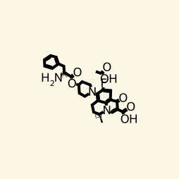 CC(=O)O.C[C@H]1CCc2c(N3CCC(OC(=O)[C@H](N)Cc4ccccc4)CC3)c(F)cc3c(=O)c(C(=O)O)cn1c23